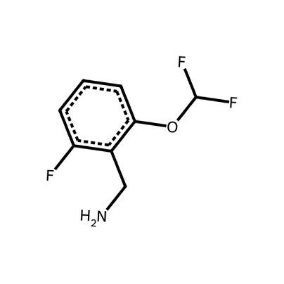 NCc1c(F)cccc1OC(F)F